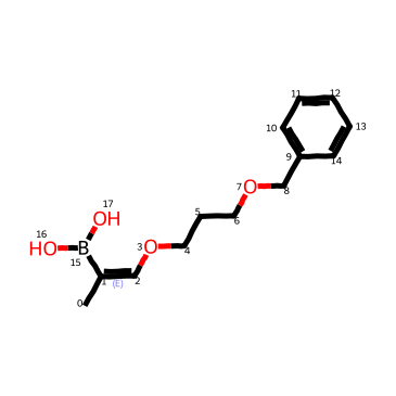 C/C(=C/OCCCOCc1ccccc1)B(O)O